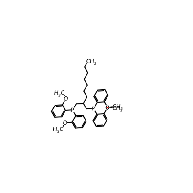 CCCCCCCC(CP(c1ccccc1OC)c1ccccc1OC)CP(c1ccccc1OC)c1ccccc1OC